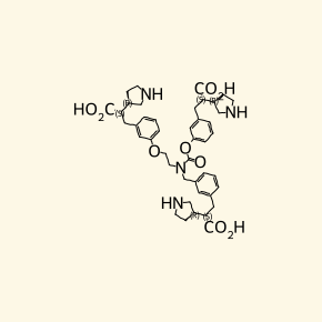 O=C(O)[C@@H](Cc1cccc(CN(CCOc2cccc(C[C@H](C(=O)O)[C@H]3CCNC3)c2)C(=O)Oc2cccc(C[C@H](C(=O)O)[C@H]3CCNC3)c2)c1)[C@H]1CCNC1